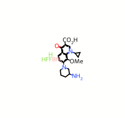 B.COc1c(N2CCCC(N)C2)ccc2c(=O)c(C(=O)O)cn(C3CC3)c12.F.F